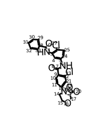 O=C(Nc1cc(NC(=O)c2ccc(N3CCOCS3(=O)=O)cc2Cl)ccc1Cl)c1ccccc1